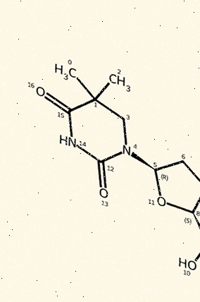 CC1(C)CN([C@H]2CC[C@@H](CO)O2)C(=O)NC1=O